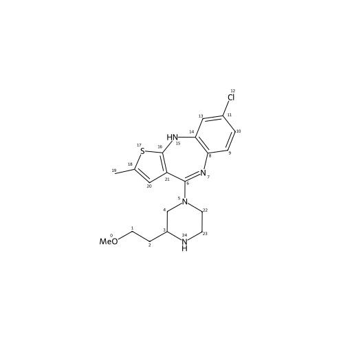 COCCC1CN(C2=Nc3ccc(Cl)cc3Nc3sc(C)cc32)CCN1